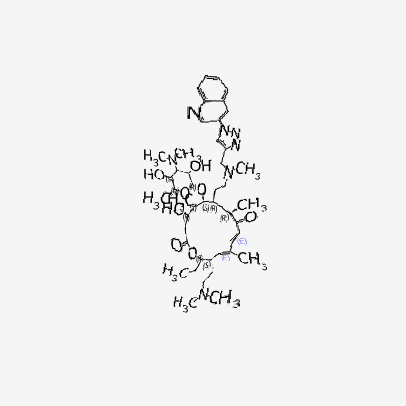 CC[C@H]1OC(=O)C[C@@H](O)[C@H](C)[C@@H](O[C@@H]2O[C@H](C)[C@@H](O)C(N(C)C)C2O)[C@@H](CCN(C)Cc2cn(-c3cnc4ccccc4c3)nn2)C[C@@H](C)C(=O)/C=C/C(C)=C/[C@@H]1CCN(C)C